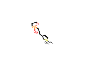 CS1(C)C=CC(CC[PH]2(O)CCCO2)C1